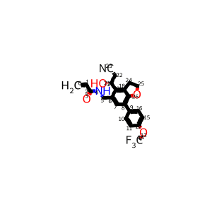 C=CC(=O)NCc1cc(-c2ccc(OC(F)(F)F)cc2)c2c(c1[C@H](O)CC#N)CCO2